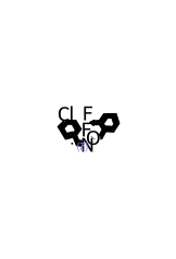 FC(F)c1ccccc1CO/N=[C]\c1ccc(Cl)cc1